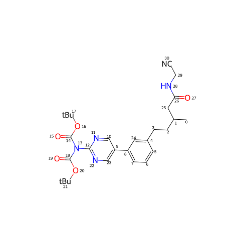 CC(CCc1cccc(-c2cnc(N(C(=O)OC(C)(C)C)C(=O)OC(C)(C)C)nc2)c1)CC(=O)NCC#N